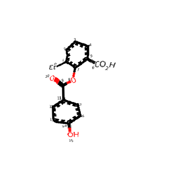 CCc1cccc(C(=O)O)c1OC(=O)c1ccc(O)cc1